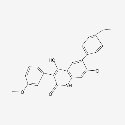 CCc1ccc(-c2cc3c(O)c(-c4cccc(OC)c4)c(=O)[nH]c3cc2Cl)cc1